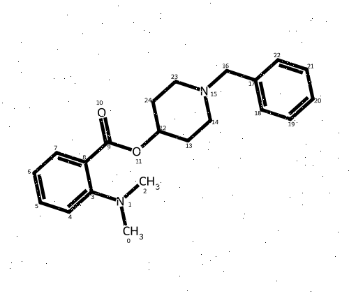 CN(C)c1ccccc1C(=O)OC1CCN(Cc2ccccc2)CC1